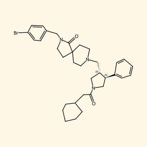 O=C(CC1CCCCC1)N1C[C@H](CN2CCC3(CC2)CCN(Cc2ccc(Br)cc2)C3=O)[C@@H](c2ccccc2)C1